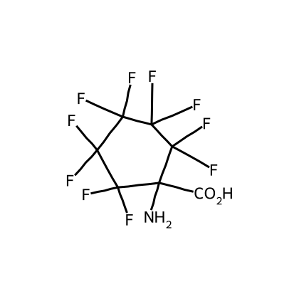 NC1(C(=O)O)C(F)(F)C(F)(F)C(F)(F)C(F)(F)C1(F)F